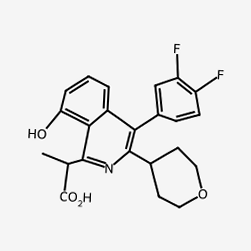 CC(C(=O)O)c1nc(C2CCOCC2)c(-c2ccc(F)c(F)c2)c2cccc(O)c12